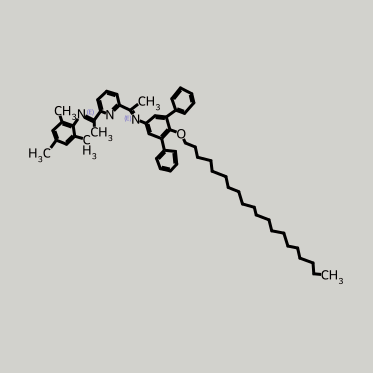 CCCCCCCCCCCCCCCCCCCCOc1c(-c2ccccc2)cc(/N=C(\C)c2cccc(/C(C)=N/c3c(C)cc(C)cc3C)n2)cc1-c1ccccc1